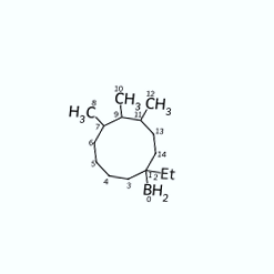 BC1(CC)CCCCC(C)C(C)C(C)CC1